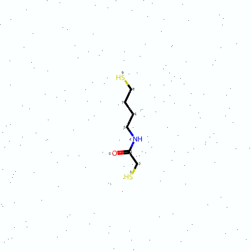 O=C(CS)NCCCCS